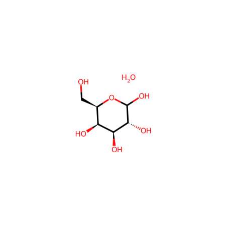 O.OC[C@H]1OC(O)[C@H](O)[C@@H](O)[C@H]1O